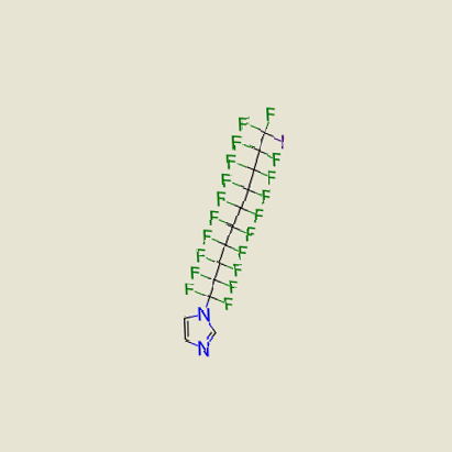 FC(F)(I)C(F)(F)C(F)(F)C(F)(F)C(F)(F)C(F)(F)C(F)(F)C(F)(F)C(F)(F)C(F)(F)n1ccnc1